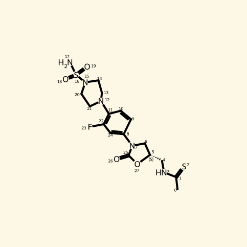 CC(=S)NC[C@H]1CN(c2ccc(N3CCN(S(N)(=O)=O)CC3)c(F)c2)C(=O)O1